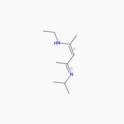 CCN/C(C)=C\C(C)=N\C(C)C